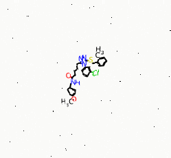 COc1ccc(CNC(=O)CCCCc2nnc(SCc3ccccc3C)n2-c2cccc(Cl)c2)cc1